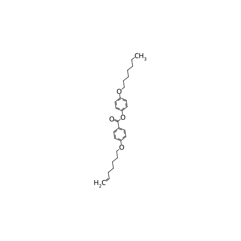 C=CCCCCCOc1ccc(C(=O)Oc2ccc(OCCCCCCC)cc2)cc1